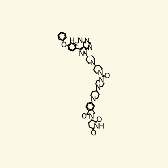 Nc1ncnc2c1c(-c1ccc(Oc3ccccc3)cc1)nn2C1CCN(C2CCN(C(=O)N3CCN(C4CCN(c5ccc6c(c5)CN(C5CCC(=O)NC5=O)C6=O)CC4)CC3)CC2)CC1